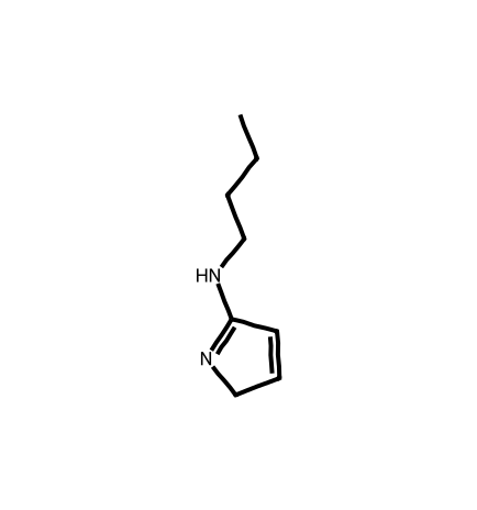 CCCCNC1=NCC=C1